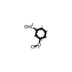 O=Cc1cccc(OCl)c1